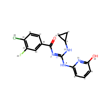 O=C(/N=C(/Nc1cccc(O)n1)NC1CC1)c1ccc(Cl)c(F)c1